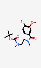 COc1cc(C(=O)N(C)CCN(C)C(=O)OC(C)(C)C)ccc1Br